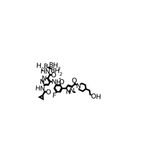 BC(B)(B)NC(=O)c1nnc(NC(=O)C2CC2)cc1Nc1cc(F)cc(-c2cc(C(=O)N3CCC(CCO)CC3)n(C)n2)c1OC